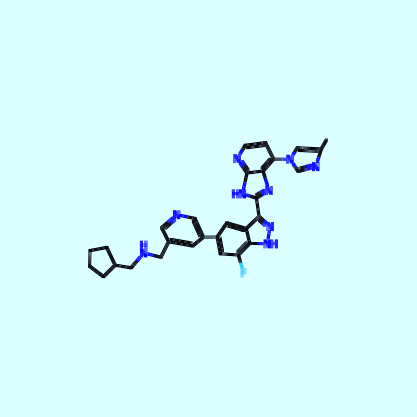 Cc1cn(-c2ccnc3[nH]c(-c4n[nH]c5c(F)cc(-c6cncc(CNCC7CCCC7)c6)cc45)nc23)cn1